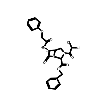 O=C(COc1ccccc1)N[C@@H]1C(=O)N2C1CN(C(=O)C(Cl)Cl)C2C(=O)OCc1ccccc1